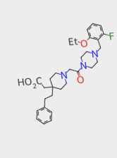 CCOc1cccc(F)c1CN1CCN(C(=O)CN2CCC(CCc3ccccc3)(CC(=O)O)CC2)CC1